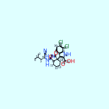 CC(C)C[C@@H](C#N)NC(=O)[C@@H]1CCCC[C@@]1(C(N)=O)c1c(C(=O)O)[nH]c2c(Cl)c(Cl)ccc12